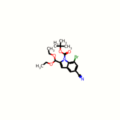 CCOC(OCC)c1cc2cc(C#N)cc(Br)c2n1C(=O)OC(C)(C)C